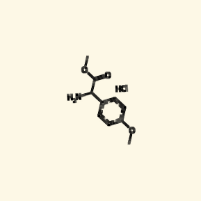 COC(=O)C(N)c1ccc(OC)cc1.Cl